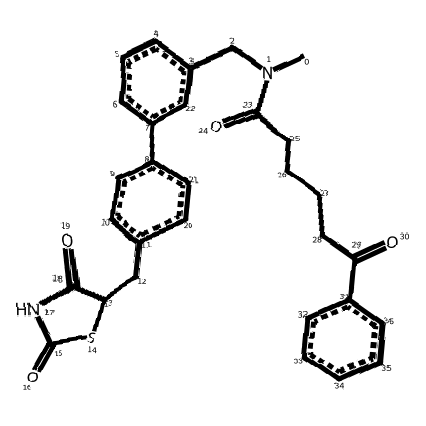 CN(Cc1cccc(-c2ccc(CC3SC(=O)NC3=O)cc2)c1)C(=O)CCCCC(=O)c1ccccc1